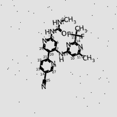 CNC(=O)Nc1cc(Nc2cc(C)nc(C(C)(F)F)n2)c(-c2ccc(C#N)cn2)cn1